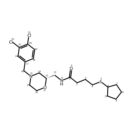 O=C(CCCSC1CCCC1)NC[C@H]1CN(Cc2ccc(Cl)c(Cl)c2)CCO1